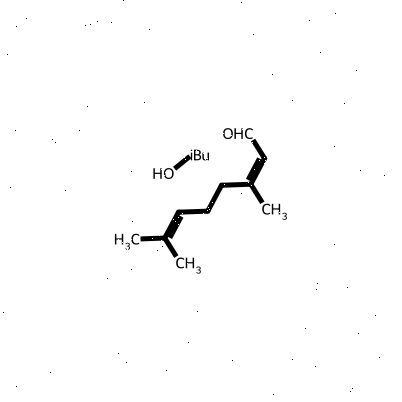 CC(C)=CCCC(C)=CC=O.CCC(C)O